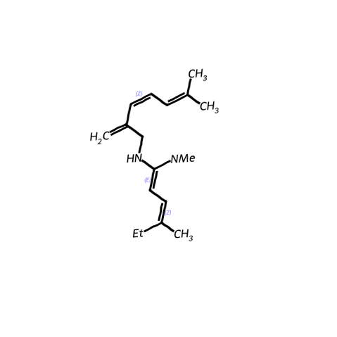 C=C(/C=C\C=C(C)C)CN/C(=C/C=C(/C)CC)NC